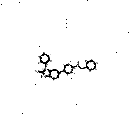 O=c1[nH]c2ccc(-c3cnc(NCc4ccccc4)nc3)cc2n1-c1ccccc1